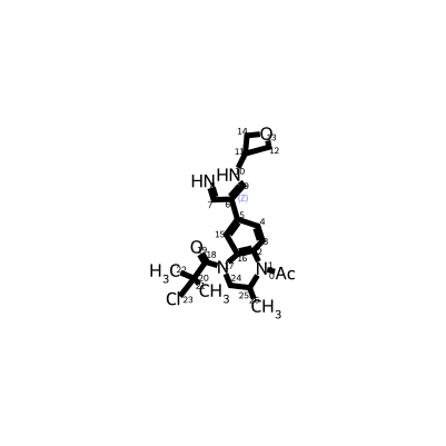 CC(=O)N1c2ccc(/C(C=N)=C/NC3COC3)cc2N(C(=O)C(C)(C)Cl)CC1C